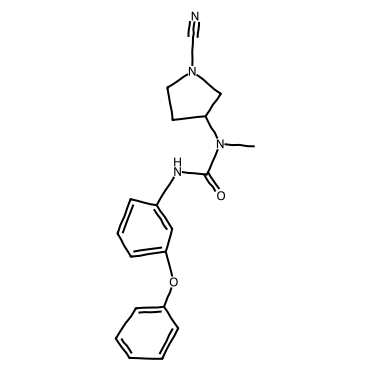 CN(C(=O)Nc1cccc(Oc2ccccc2)c1)C1CCN(C#N)C1